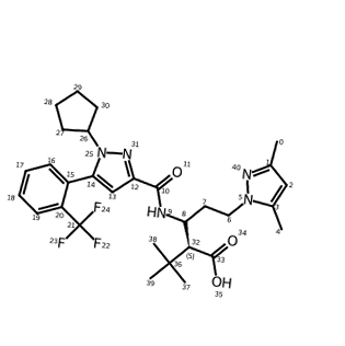 Cc1cc(C)n(CCC(NC(=O)c2cc(-c3ccccc3C(F)(F)F)n(C3CCCC3)n2)[C@@H](C(=O)O)C(C)(C)C)n1